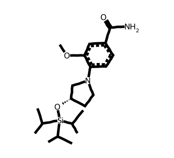 COc1cc(C(N)=O)ccc1N1CC[C@H](O[Si](C(C)C)(C(C)C)C(C)C)C1